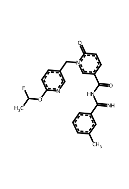 Cc1cccc(C(=N)NC(=O)c2ccc(=O)n(Cc3ccc(OC(C)F)nc3)c2)c1